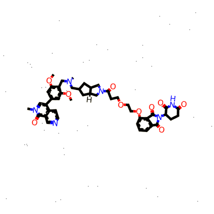 COc1cc(-c2cn(C)c(=O)c3cnccc23)cc(OC)c1CN(C)CC1CC2CN(C(=O)CCOCCOc3cccc4c3C(=O)N(C3CCC(=O)NC3=O)C4=O)C[C@@H]2C1